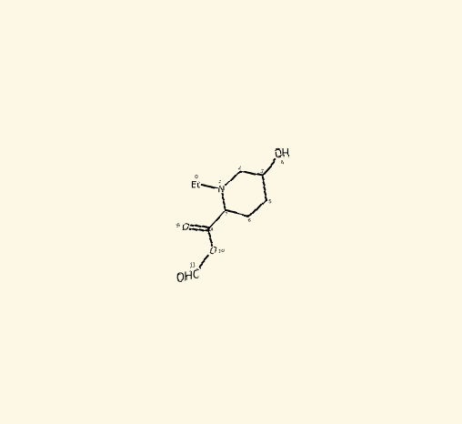 CCN1CC(O)CCC1C(=O)OC=O